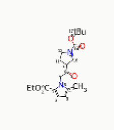 CCOC(=O)c1ccc(C)n1CC(=O)C1CCN(C(=O)OC(C)(C)C)C1